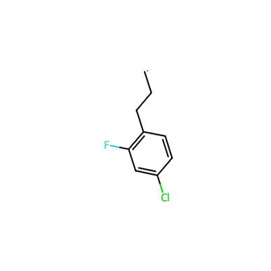 [CH2]CCc1ccc(Cl)cc1F